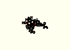 C/C=C(\C)C(=O)OC[C@]1(O)C[C@@H](C)[C@]2(C)[C@@H]3CC4=C5[C@H](/C(=C(\C)C(=O)OC)C(=O)[C@H](O)[C@@]5(C)[C@@H]5C[C@H]45)[C@@]34OC(=O)C(COC(C)=O)=C4C[C@@H]12